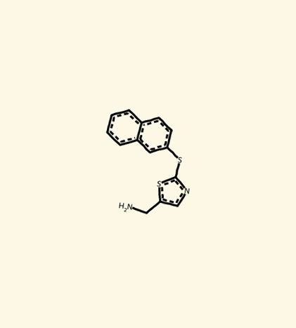 NCc1cnc(Sc2ccc3ccccc3c2)s1